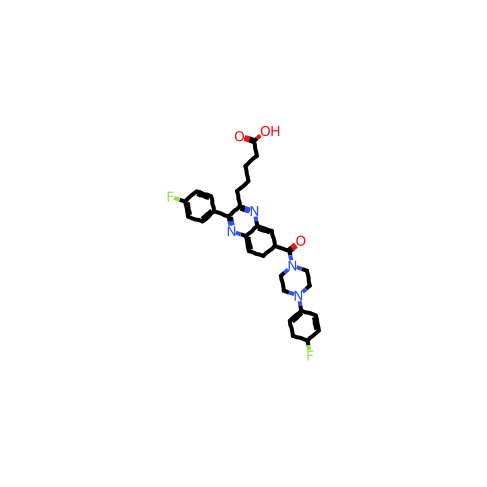 O=C(O)CCCCc1nc2c(nc1-c1ccc(F)cc1)=CCC(C(=O)N1CCN(C3=CCC(F)C=C3)CC1)C=2